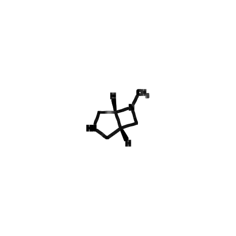 CN1C[C@@H]2CNC[C@@H]21